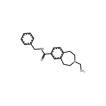 CCN1CCc2ccc(C(=O)NCc3ccccc3)cc2CC1